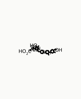 CC1=CC(N2CCC(Cc3nc(C)c(O)c(C(=O)NCC(=O)O)n3)CC2)CC=C1[C@]1(C)C=CC(CO)=C(C)C1